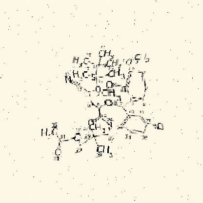 COc1cccc([C@H]2O[C@H](CC(C#N)O[Si](C)(C)C(C)(C)C)C(=O)N(CC(C)(C)COC(C)=O)c3ccc(Cl)cc32)c1OC